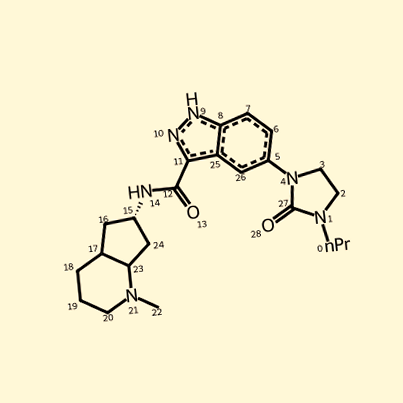 CCCN1CCN(c2ccc3[nH]nc(C(=O)N[C@H]4CC5CCCN(C)C5C4)c3c2)C1=O